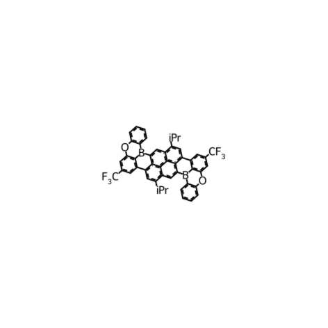 CC(C)c1cc2c3c(cc4c(C(C)C)cc5c6c(cc1c3c46)B1c3ccccc3Oc3cc(C(F)(F)F)cc-5c31)B1c3ccccc3Oc3cc(C(F)(F)F)cc-2c31